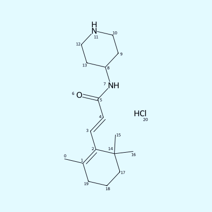 CC1=C(C=CC(=O)NC2CCNCC2)C(C)(C)CCC1.Cl